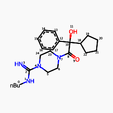 CCCCNC(=N)N1CCN(C(=O)[C@](O)(c2ccccc2)C2CCCC2)CC1